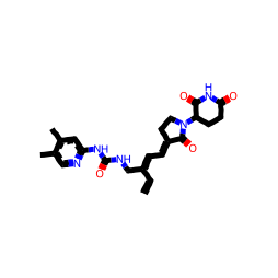 C=C/C(=C\C=C1/CCN(C2CCC(=O)NC2=O)C1=O)CNC(=O)Nc1cc(C)c(C)cn1